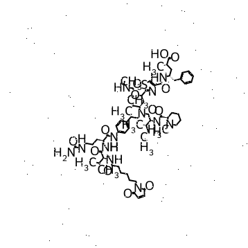 CC[C@H](C)[C@H](NC(=O)[C@H]1CCCCN1C)C(=O)N(CCc1ccc(NC(=O)[C@H](CCCNC(N)=O)NC(=O)[C@@H](NC(=O)CCCCCN2C(=O)C=CC2=O)C(C)C)cc1)[C@H](C[C@@H](OC(=O)NC)c1nc(C(=O)N[C@@H](Cc2ccccc2)C[C@H](C)C(=O)O)cs1)C(C)C